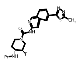 Cc1nnc(-c2ccc3cnc(NC(=O)N4CC[C@@H](NC(C)C)[C@H](F)C4)cc3c2)s1